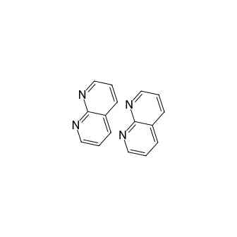 c1cnc2ncccc2c1.c1cnc2ncccc2c1